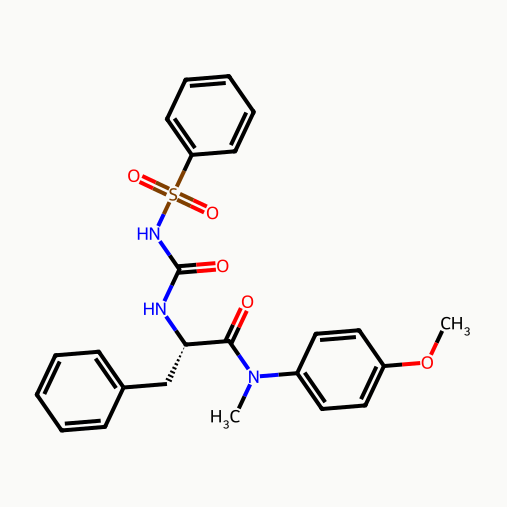 COc1ccc(N(C)C(=O)[C@H](Cc2ccccc2)NC(=O)NS(=O)(=O)c2ccccc2)cc1